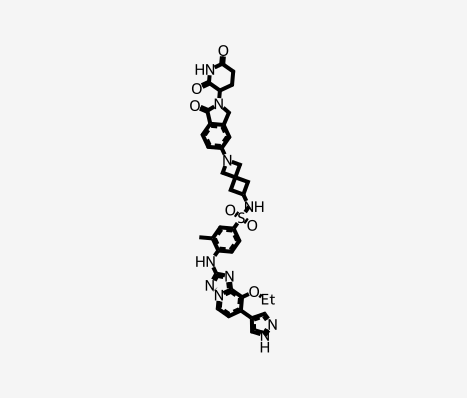 CCOc1c(-c2cn[nH]c2)ccn2nc(Nc3ccc(S(=O)(=O)NC4CC5(C4)CN(c4ccc6c(c4)CN(C4CCC(=O)NC4=O)C6=O)C5)cc3C)nc12